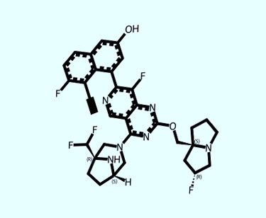 C#Cc1c(F)ccc2cc(O)cc(-c3ncc4c(N5C[C@@H]6CC[C@](C(F)F)(C5)N6)nc(OC[C@@]56CCCN5C[C@H](F)C6)nc4c3F)c12